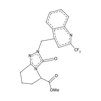 COC(=O)C1CCCc2nn(Cc3cc(C(F)(F)F)nc4ccccc34)c(=O)n21